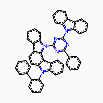 c1ccc(-c2nc(-n3c4ccccc4c4ccccc43)nc(-n3c4ccccc4c4ccc5c(c6ccccc6n5-c5ccccc5-c5ccccc5)c43)n2)cc1